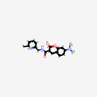 CCN(CC)c1ccc2cc(C(=O)NCc3cccc(C)n3)c(=O)oc2c1